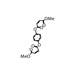 COC(=O)/C=C\C(=O)Oc1ccc(OC(=O)/C=C\C(=O)OC)cc1